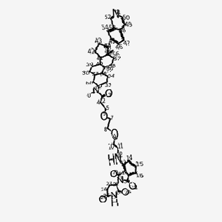 CN(C(=O)CCOCCOCCNc1cccc2c1C(=O)N(C1CCC(=O)NC1=O)C2=O)[C@H]1CC[C@@]2(C)C(CCC3C4CC[C@H](c5ccc6ccncc6c5)C4(C)CCC32)C1